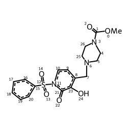 COC(=O)N1CCN(Cc2ccn(S(=O)(=O)c3ccccc3)c(=O)c2O)CC1